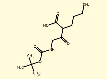 CCCCC(C(=O)O)C(=O)CNC(=O)OC(C)(C)C